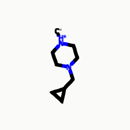 [CH2-][NH+]1CCN(CC2CC2)CC1